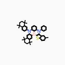 Cc1ccc2sc3c(c2c1)N(c1ccccc1)c1cccc2c1B3c1cc3c(cc1N2c1ccc2c(c1)C(C)(C)CCC2(C)C)C(C)(C)CCC3(C)C